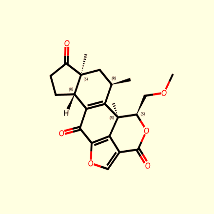 COC[C@H]1OC(=O)c2coc3c2[C@@]1(C)C1=C(C3=O)[C@@H]2CCC(=O)[C@@]2(C)C[C@H]1C